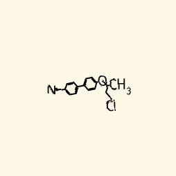 CC(CCCl)Oc1ccc(-c2ccc(C#N)cc2)cc1